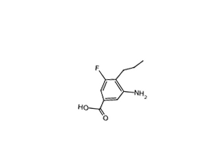 CCCc1c(N)cc(C(=O)O)cc1F